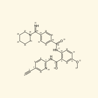 C#Cc1ccc(NC(=O)c2cc(OC)ccc2NC(=O)c2ccc(C(=N)N3CCCCC3)cc2)nc1